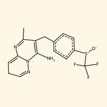 CC1=NC2=CCC=NN2C(N)=C1Cc1ccc([S+]([O-])C(F)(F)F)cc1